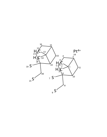 CC1(C)C2CCC([S-])(C[S-])C1C2.CC1(C)C2CCC([S-])(C[S-])C1C2.[Pt+4]